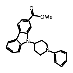 COC(=O)c1ccc2c3ccccc3n(C3CCN(c4ccccc4)CC3)c2c1